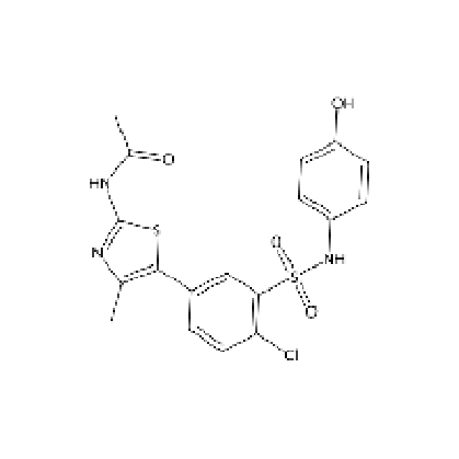 CC(=O)Nc1nc(C)c(-c2ccc(Cl)c(S(=O)(=O)Nc3ccc(O)cc3)c2)s1